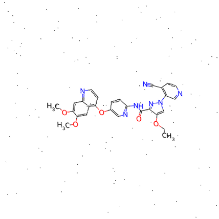 CCOc1cn(-c2cnccc2C#N)nc1C(=O)Nc1ccc(Oc2ccnc3cc(OC)c(OC)cc23)cn1